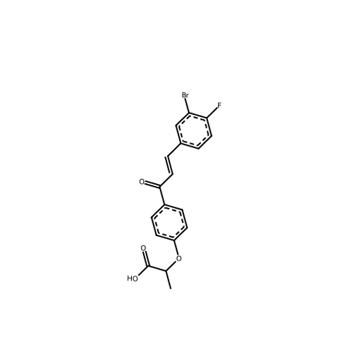 CC(Oc1ccc(C(=O)/C=C/c2ccc(F)c(Br)c2)cc1)C(=O)O